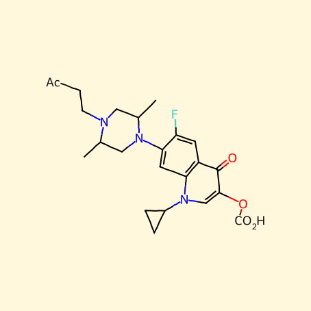 CC(=O)CCN1CC(C)N(c2cc3c(cc2F)c(=O)c(OC(=O)O)cn3C2CC2)CC1C